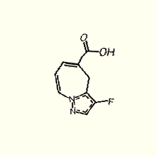 O=C(O)C1=CC=Cn2ncc(F)c2C1